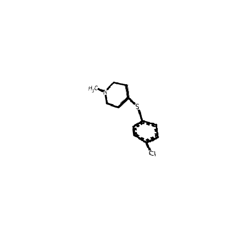 CN1CCC(Sc2ccc(Cl)cc2)CC1